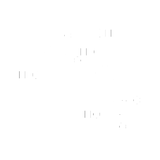 Cc1ccc(OCCO)c(OCc2cc(-c3c(O)c(=O)c3=O)ccc2C)c1